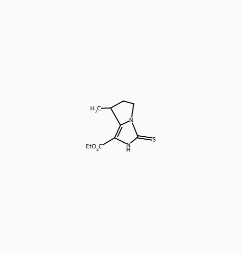 CCOC(=O)c1[nH]c(=S)n2c1C(C)CC2